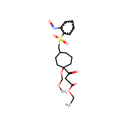 CCOC(=O)CC(=O)C1(OCOC)CCCC(CS(=O)(=O)c2ccccc2N=O)CC1